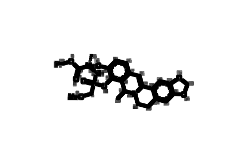 COCP(=O)(N[C@@H](C)C(=O)OC(C)C)Oc1c(OC)ccc2c1C(C)N1CCc3cc4c(cc3C1=C2)OCO4